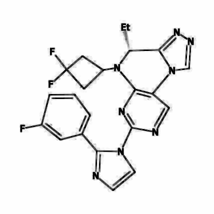 CC[C@@H]1c2nncn2-c2cnc(-n3ccnc3-c3cccc(F)c3)nc2N1C1CC(F)(F)C1